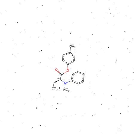 O=C(O)C[C@@H](C(=O)Oc1ccc([N+](=O)[O-])cc1)N(c1ccccc1)[N+](=O)[O-]